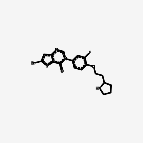 O=c1c2sc(Br)cc2ncn1-c1ccc(OCCC2CCCN2)c(F)c1